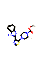 C[C@@H]1CN(c2scnc2-c2nc3ccccc3[nH]2)CCN1C(=O)OC(C)(C)C